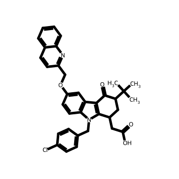 CC(C)(C)C1CC(CC(=O)O)c2c(c3cc(OCc4ccc5ccccc5n4)ccc3n2Cc2ccc(Cl)cc2)C1=O